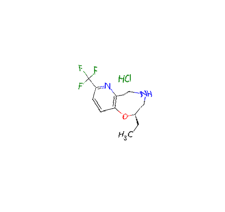 CC[C@@H]1CNCc2nc(C(F)(F)F)ccc2O1.Cl